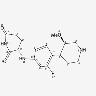 CO[C@H]1CNCC[C@@H]1c1ccc(N[C@H]2CCC(=O)NC2=O)cc1F